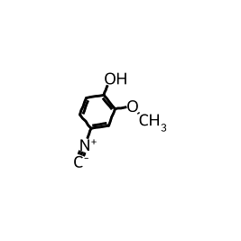 [C-]#[N+]c1ccc(O)c(OC)c1